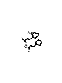 O=C([O-])C=Cc1ccccc1.O=C([O-])C=Cc1ccccc1.[Mg+2]